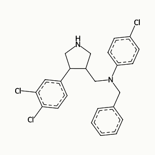 Clc1ccc(N(Cc2ccccc2)CC2CNCC2c2ccc(Cl)c(Cl)c2)cc1